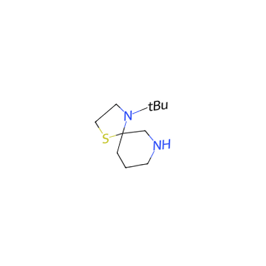 CC(C)(C)N1CCSC12CCCNC2